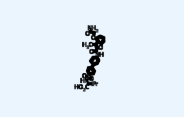 Cc1c(C(=O)Nc2ccc(-c3ccc(S(=O)(=O)NC(C(=O)O)C(C)C)cc3)cc2)oc2cccc(OCC(N)=O)c12